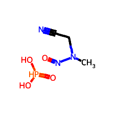 CN(CC#N)N=O.O=[PH](O)O